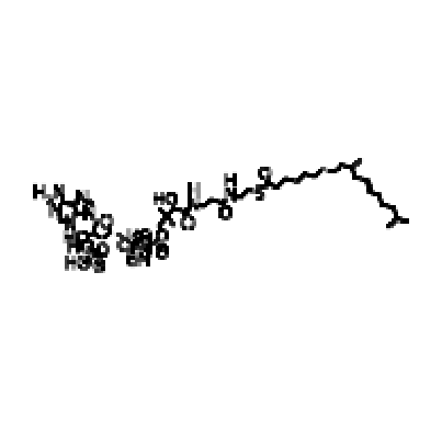 CC(C)CCCC=CCC(C)CCCCCCCCC(=O)SCCNC(=O)CCNC(=O)[C@H](O)C(C)(C)COP(=O)(O)OP(=O)(O)OC[C@H]1O[C@@H](n2cnc3c(N)ncnc32)[C@H](O)[C@@H]1OP(=O)(O)O